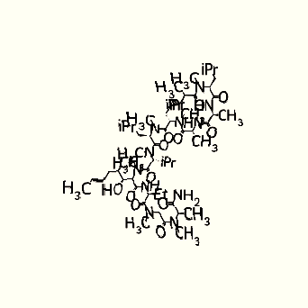 C/C=C/C[C@@H](C)[C@H](O)C(C(=O)N[C@@H](CC)C(=O)N(C)CC(=O)N(C)[C@H](C)C(N)=O)N(C)C(=O)[C@@H](C(C)C)N(C)C(=O)[C@@H](CC(C)C)N(C)C(=O)[C@H](CC(C)C)N(C)C(=O)[C@@H](C)NC(=O)[C@H](C)NC(=O)[C@H](CC(C)C)N(C)C(=O)[C@H](C)C(C)C